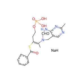 CC(=C(CCOP(=O)(O)O)SC(=O)c1ccccc1)N(C=O)Cc1cnc(C)nc1N.[NaH]